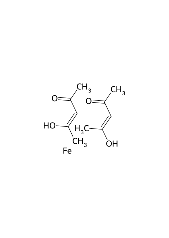 CC(=O)/C=C(/C)O.CC(=O)/C=C(\C)O.[Fe]